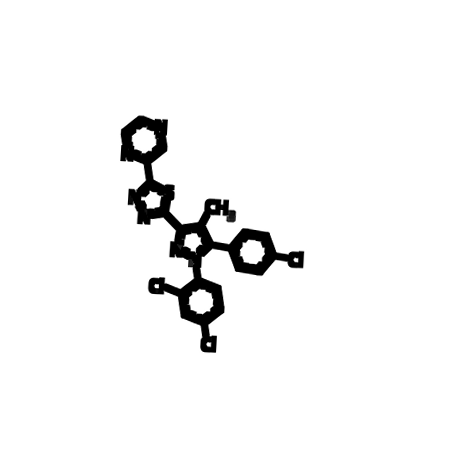 Cc1c(-c2nnc(-c3cnccn3)s2)nn(-c2ccc(Cl)cc2Cl)c1-c1ccc(Cl)cc1